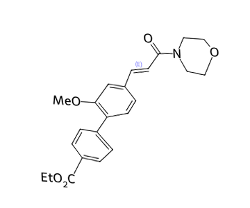 CCOC(=O)c1ccc(-c2ccc(/C=C/C(=O)N3CCOCC3)cc2OC)cc1